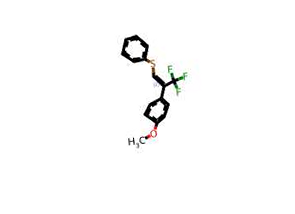 COc1ccc(/C(=C/Sc2ccccc2)C(F)(F)F)cc1